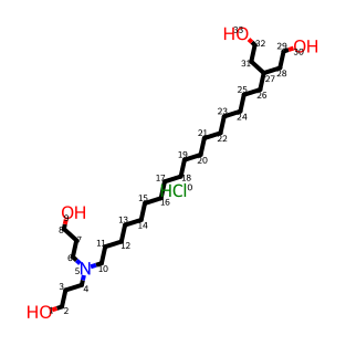 Cl.OCCCN(CCCO)CCCCCCCCCCCCCCCCCC(CCO)CCO